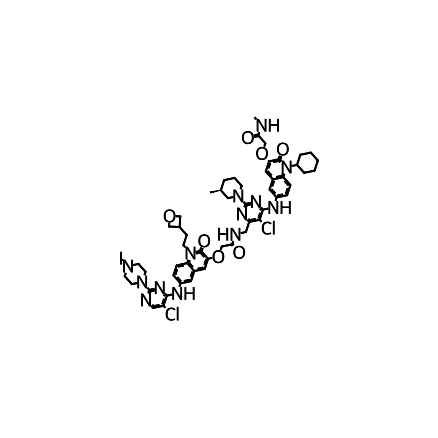 CNC(=O)COc1cc2cc(Nc3nc(N4CCC[C@H](C)C4)nc(CNC(=O)COc4cc5cc(Nc6nc(N7CCN(I)CC7)ncc6Cl)ccc5n(CCC5COC5)c4=O)c3Cl)ccc2n(C2CCCCC2)c1=O